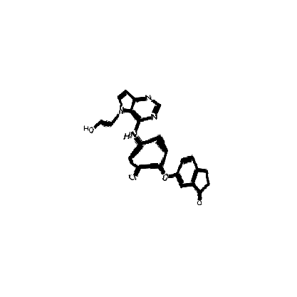 O=C1CCc2ccc(Oc3ccc(Nc4ncnc5ccn(CCO)c45)cc3Cl)cc21